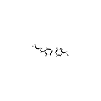 COc1ccc(-c2ccc(CNC=O)cc2)cn1